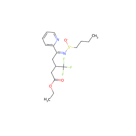 CCCC[S+]([O-])/N=C(/CC(CC(=O)OCC)C(F)(F)F)c1ccccn1